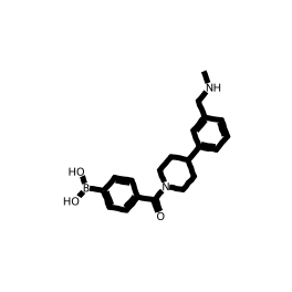 CNCc1cccc(C2CCN(C(=O)c3ccc(B(O)O)cc3)CC2)c1